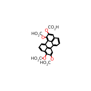 O=C(O)Oc1cc2c3cccc4cc(OC(=O)O)c(OC(=O)O)c(c5cccc(c1OC(=O)O)c25)c43